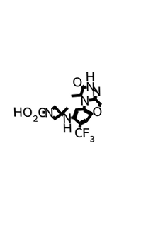 CC1C(=O)NN=C2COc3cc(C(F)(F)F)c(NC4(C)CN(C(=O)O)C4)cc3N21